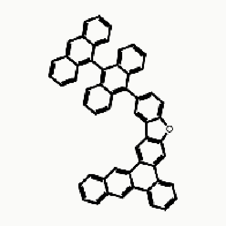 c1ccc2cc3c(cc2c1)c1ccccc1c1cc2oc4ccc(-c5c6ccccc6c(-c6c7ccccc7cc7ccccc67)c6ccccc56)cc4c2cc31